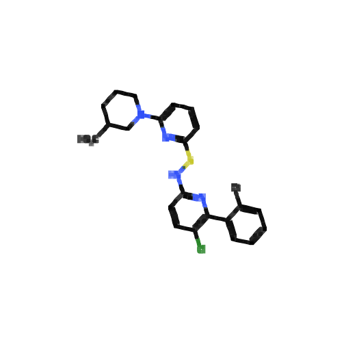 CCc1ccccc1-c1nc(NSc2cccc(N3CCCC(C(=O)O)C3)n2)ccc1Cl